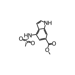 COC(=O)c1cc(NS(C)(=O)=O)c2cc[nH]c2c1